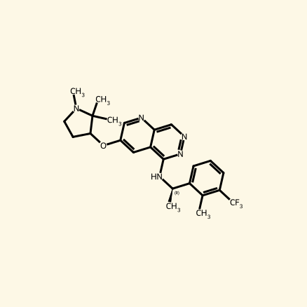 Cc1c([C@@H](C)Nc2nncc3ncc(OC4CCN(C)C4(C)C)cc23)cccc1C(F)(F)F